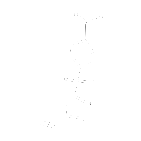 C#Sc1nnc(S(=O)(=O)c2ccc([N+](=O)[O-])cc2)s1